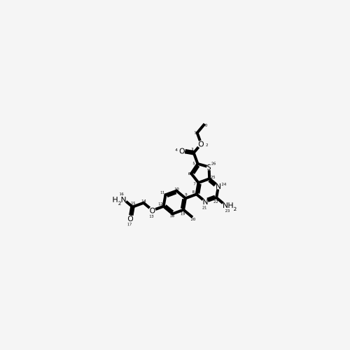 CCOC(=O)c1cc2c(-c3ccc(OCC(N)=O)cc3C)nc(N)nc2s1